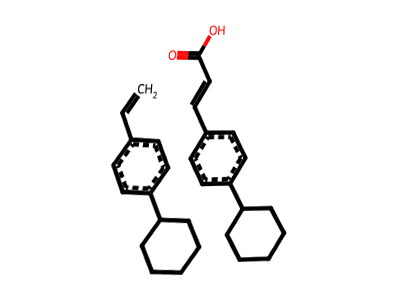 C=Cc1ccc(C2CCCCC2)cc1.O=C(O)C=Cc1ccc(C2CCCCC2)cc1